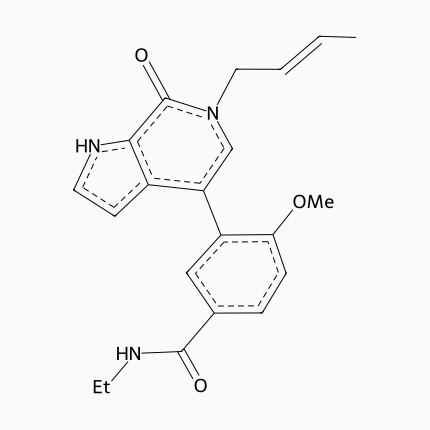 CC=CCn1cc(-c2cc(C(=O)NCC)ccc2OC)c2cc[nH]c2c1=O